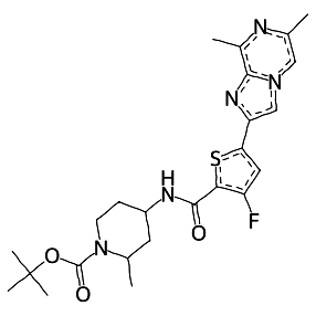 Cc1cn2cc(-c3cc(F)c(C(=O)NC4CCN(C(=O)OC(C)(C)C)C(C)C4)s3)nc2c(C)n1